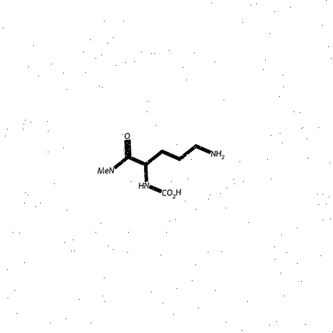 CNC(=O)C(CCCN)NC(=O)O